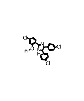 CC(C)Oc1cc(Cl)ccc1C1=NC(c2ccc(Cl)cc2)C(c2ccc(Cl)cc2)N1